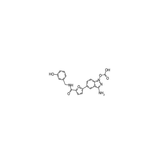 Nc1nn(OC(=O)O)c2ccc(-c3ccc(C(=O)NCc4cccc(O)c4)o3)cc12